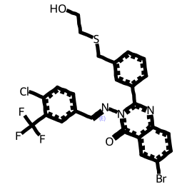 O=c1c2cc(Br)ccc2nc(-c2cccc(CSCCO)c2)n1/N=C/c1ccc(Cl)c(C(F)(F)F)c1